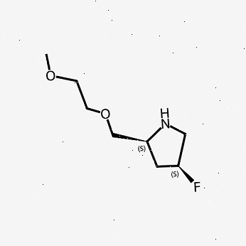 COCCOC[C@@H]1C[C@H](F)CN1